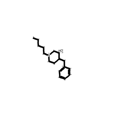 CCCCCN1CCC(Cc2ccccc2)CC1.Cl